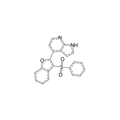 O=S(=O)(c1ccccc1)c1c(-c2ccnc3[nH]ccc23)oc2ccccc12